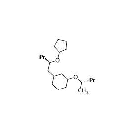 CC(C)[C@H](C)OC1CCCC(C[C@H](OC2CCCC2)C(C)C)C1